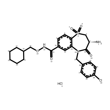 Cl.N[C@H]1CS(=O)(=O)c2ccc(C(=O)NOCC3CCCCC3)cc2N(Cc2ccc(Cl)cc2)C1=O